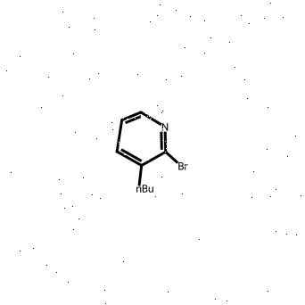 CCCCc1cccnc1Br